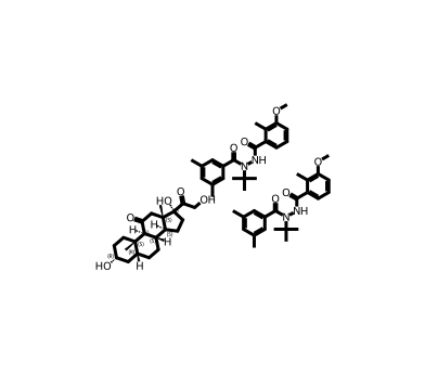 COc1cccc(C(=O)NN(C(=O)c2cc(C)cc(C)c2)C(C)(C)C)c1C.COc1cccc(C(=O)NN(C(=O)c2cc(C)cc(C)c2)C(C)(C)C)c1C.C[C@]12CC[C@@H](O)C[C@H]1CC[C@@H]1[C@@H]2C(=O)C[C@@]2(C)[C@H]1CC[C@]2(O)C(=O)CO